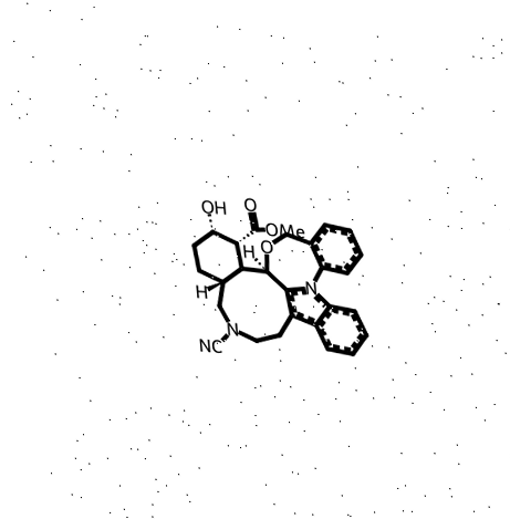 COC(=O)[C@@H]1C2[C@@H](CC[C@@H]1O)CN(C#N)CCc1c3n(c4ccccc14)-c1ccccc1CO[C@@H]32